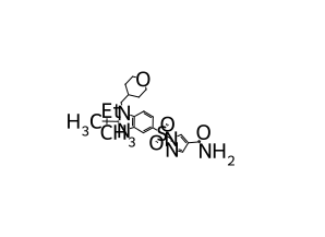 CCC(C)(C)c1nc2cc(S(=O)(=O)n3cc(C(N)=O)cn3)ccc2n1CC1CCOCC1